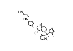 C=Nc1ccc(C(C)(c2cncn2C)C2N=CC=CN2C)cc1/C(Cl)=C(\C)Cc1ccc(N/C=C\C=N)cc1